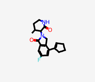 CC1CCNC(=O)C1N1Cc2c(cc(F)cc2C2=CCCC2)C1=O